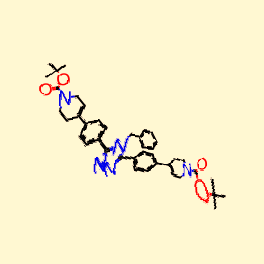 CC(C)(C)OC(=O)N1CC=C(c2ccc(-c3nnc(-c4ccc(C5=CCN(C(=O)OC(C)(C)C)CC5)cc4)n3Cc3ccccc3)cc2)CC1